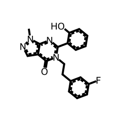 Cn1ncc2c(=O)n(CCc3cccc(F)c3)c(-c3ccccc3O)nc21